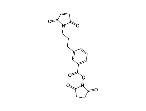 O=C(ON1C(=O)CCC1=O)c1cccc(CCCN2C(=O)C=CC2=O)c1